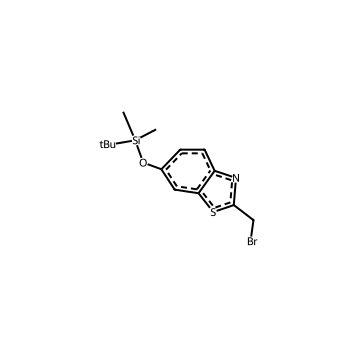 CC(C)(C)[Si](C)(C)Oc1ccc2nc(CBr)sc2c1